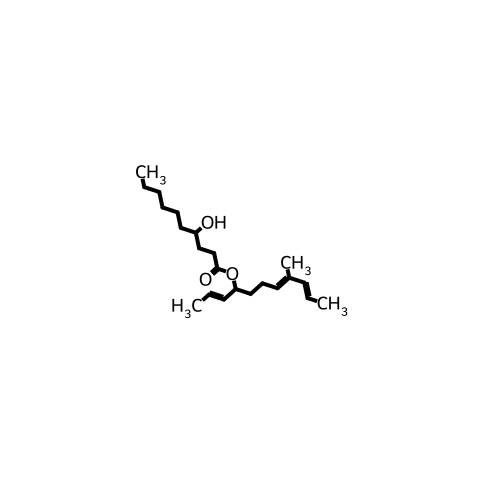 CC=CC(C)=CCCC(C=CC)OC(=O)CCC(O)CCCCCC